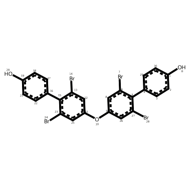 Oc1ccc(-c2c(Br)cc(Oc3cc(Br)c(-c4ccc(O)cc4)c(Br)c3)cc2Br)cc1